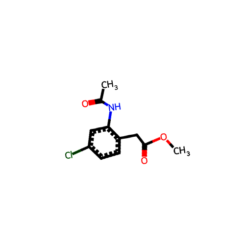 COC(=O)Cc1ccc(Cl)cc1NC(C)=O